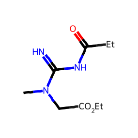 CCOC(=O)CN(C)C(=N)NC(=O)CC